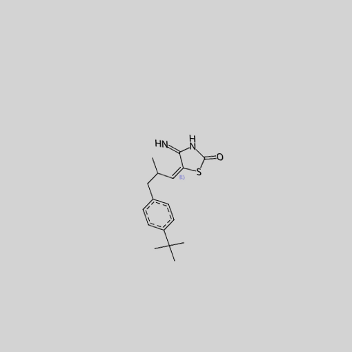 CC(/C=C1/SC(=O)NC1=N)Cc1ccc(C(C)(C)C)cc1